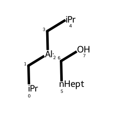 CC(C)[CH2][Al][CH2]C(C)C.CCCCCCCCO